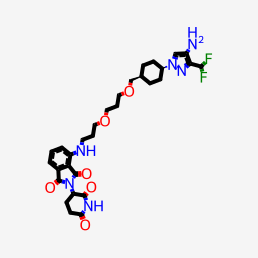 Nc1cn([C@H]2CC[C@H](COCCCOCCCNc3cccc4c3C(=O)N(C3CCC(=O)NC3=O)C4=O)CC2)nc1C(F)F